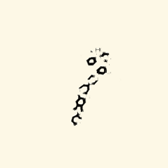 COc1cc(N2CCN(C3CCN(Cc4cc5c(cc4Br)C(=O)N(C4CCC(=O)NC4=O)C5=O)CC3)CC2)ccc1Nc1ncc(Cl)c(Nc2ccccc2P(C)C)n1